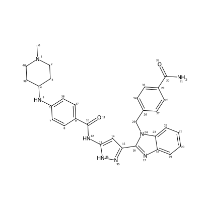 CN1CCC(Nc2ccc(C(=O)Nc3cc(-c4nc5ccccc5n4Cc4ccc(C(N)=O)cc4)n[nH]3)cc2)CC1